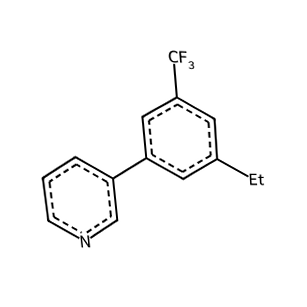 CCc1cc(-c2cccnc2)cc(C(F)(F)F)c1